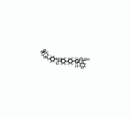 O=C(Nc1ccc(CN2CCS(=O)(=O)CC2)cc1)c1ccc(-c2ccc(-c3cnc([C@@H]4COCCN4C(=O)O)[nH]3)cc2)cc1